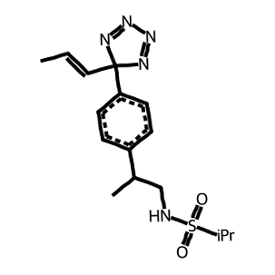 CC=CC1(c2ccc(C(C)CNS(=O)(=O)C(C)C)cc2)N=NN=N1